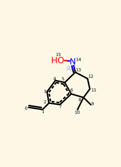 C=Cc1ccc2c(c1)C(C)(C)CC/C2=N/O